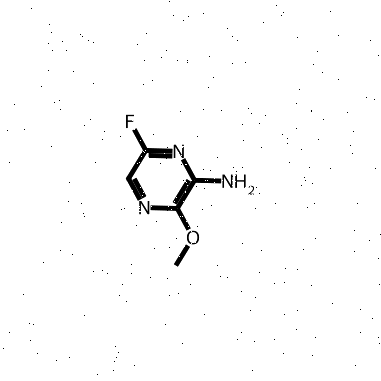 COc1ncc(F)nc1N